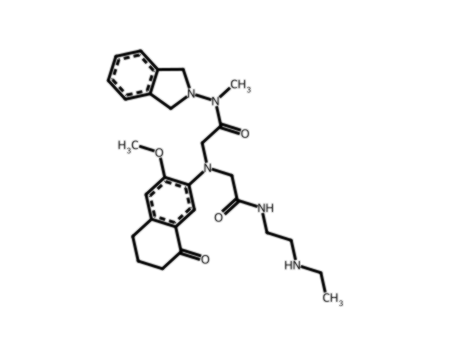 CCNCCNC(=O)CN(CC(=O)N(C)N1Cc2ccccc2C1)c1cc2c(cc1OC)CCCC2=O